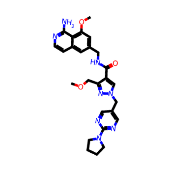 COCc1nn(Cc2cnc(N3CCCC3)nc2)cc1C(=O)NCc1cc(OC)c2c(N)nccc2c1